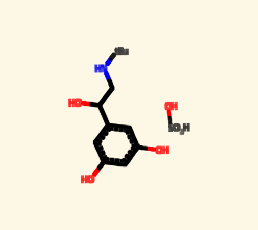 CC(C)(C)NCC(O)c1cc(O)cc(O)c1.O=S(=O)(O)O